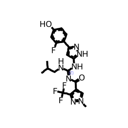 CC(C)CN/C(=N/C(=O)c1cn(C)nc1C(F)(F)F)Nc1cc(-c2ccc(O)cc2F)n[nH]1